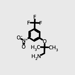 CC(C)(CN)Oc1cc([N+](=O)[O-])cc(C(F)(F)F)c1